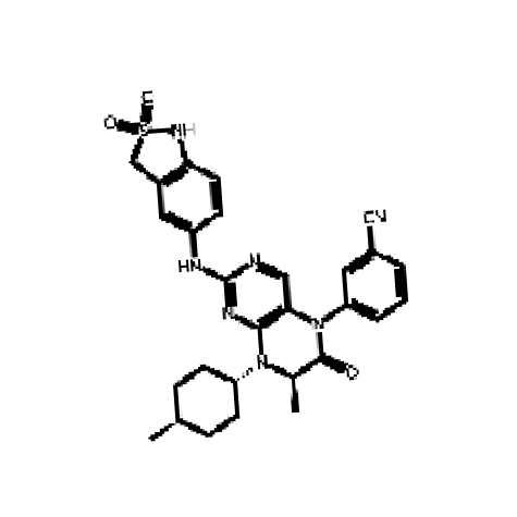 C[C@@H]1C(=O)N(c2cccc(C#N)c2)c2cnc(Nc3ccc4c(c3)CS(=O)(=O)N4)nc2N1[C@H]1CC[C@H](C)CC1